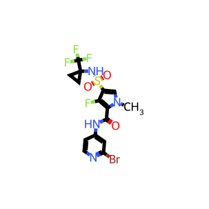 Cn1cc(S(=O)(=O)NC2(C(F)(F)F)CC2)c(F)c1C(=O)Nc1ccnc(Br)c1